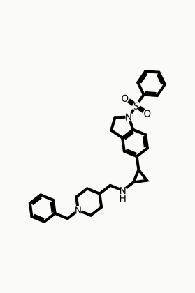 O=S(=O)(c1ccccc1)N1CCc2cc(C3CC3NCC3CCN(Cc4ccccc4)CC3)ccc21